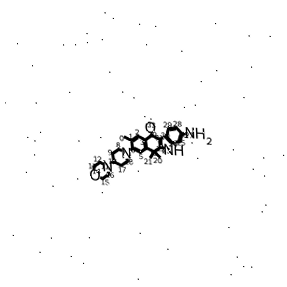 Cc1cc2c(cc1N1CCC(N3CCOCC3)CC1)C(C)(C)c1[nH]c3cc(N)ccc3c1C2=O